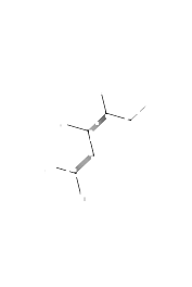 C/C(Br)=C\C(Br)=C(\O)CBr